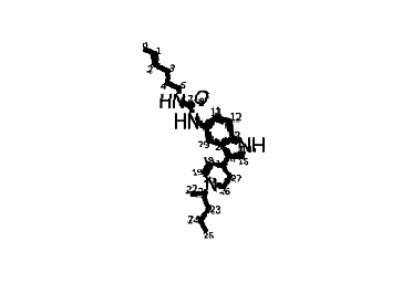 CC=CCCCNC(=O)Nc1ccc2[nH]cc(C3C=CN(C(C)CCC)CC3)c2c1